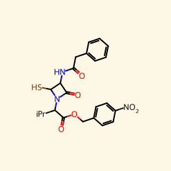 CC(C)C(C(=O)OCc1ccc([N+](=O)[O-])cc1)N1C(=O)C(NC(=O)Cc2ccccc2)C1S